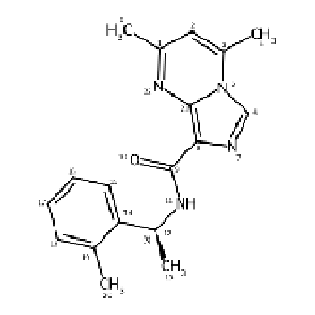 Cc1cc(C)n2cnc(C(=O)N[C@@H](C)c3ccccc3C)c2n1